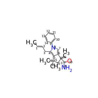 CC=CCc1c2c(cn1-c1ccccc1)C(C)(C(N)=O)CC2(C)C